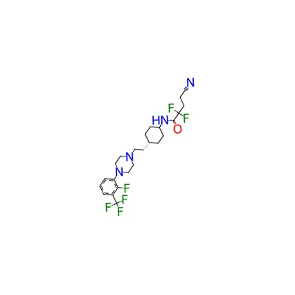 N#CCCC(F)(F)C(=O)N[C@H]1CC[C@H](CCN2CCN(c3cccc(C(F)(F)F)c3F)CC2)CC1